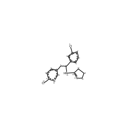 Clc1cccc(C(Cc2ccc(Cl)nc2)NC2=NCCC2)c1